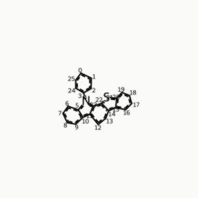 c1ccc(-n2c3ccccc3c3ccc4c5ccccc5sc4c32)cc1